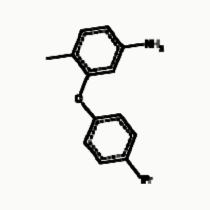 Cc1ccc(N)cc1Oc1ccc(C(C)C)cc1